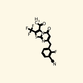 CC(=O)c1c(C(F)(F)F)sc2nc(Cc3cccc(C#N)c3F)cc(=O)n12